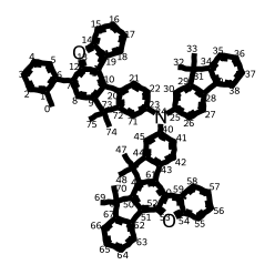 Cc1ccccc1-c1cc2c(c3c1oc1ccccc13)-c1ccc(N(c3ccc4c(c3)C(C)(C)c3ccccc3-4)c3ccc4c(c3)C(C)(C)c3c5c(c6oc7ccccc7c6c3-4)-c3ccccc3C5(C)C)cc1C2(C)C